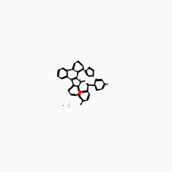 Clc1ccc([C](c2ccc(Cl)cc2)=[Hf+2]([C]2=CC=CC2)[CH]2c3ccccc3-c3c2c2ccccc2c2ccccc32)cc1.[Cl-].[Cl-]